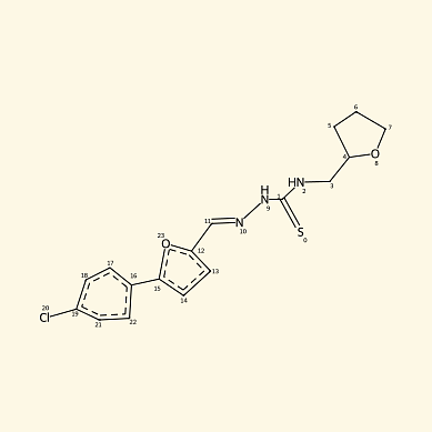 S=C(NCC1CCCO1)NN=Cc1ccc(-c2ccc(Cl)cc2)o1